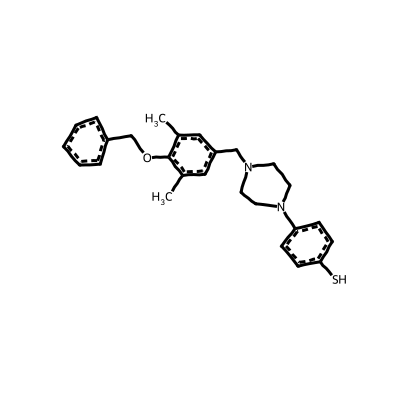 Cc1cc(CN2CCN(c3ccc(S)cc3)CC2)cc(C)c1OCc1ccccc1